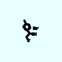 Cc1ccc(C(O)C[S-])cc1.[Na+]